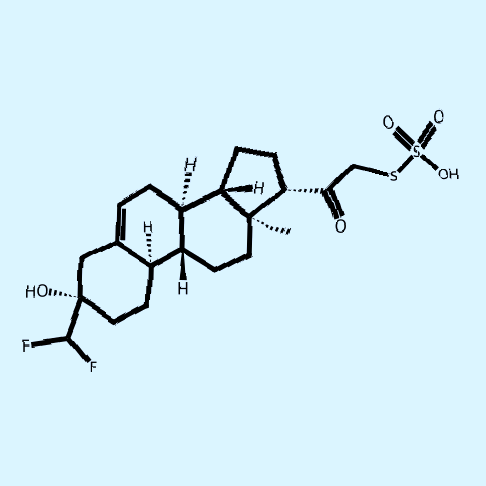 C[C@]12CC[C@H]3[C@@H](CC=C4C[C@](O)(C(F)F)CC[C@@H]43)[C@@H]1CC[C@@H]2C(=O)CSS(=O)(=O)O